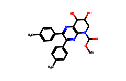 CCCCOC(=O)N1CC(O)C(O)c2nc(-c3ccc(C)cc3)c(-c3ccc(C)cc3)nc21